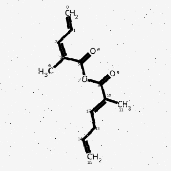 C=CC=C(C)C(=O)OC(=O)C(C)=CCC=C